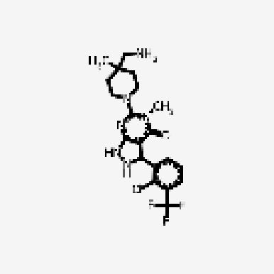 Cn1c(N2CCC(C)(CN)CC2)nc2c(c1=O)C(c1cccc(C(F)(F)F)c1Cl)NN2